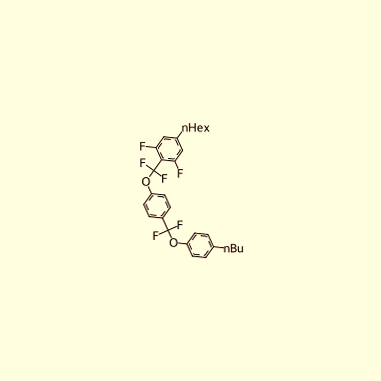 CCCCCCc1cc(F)c(C(F)(F)Oc2ccc(C(F)(F)Oc3ccc(CCCC)cc3)cc2)c(F)c1